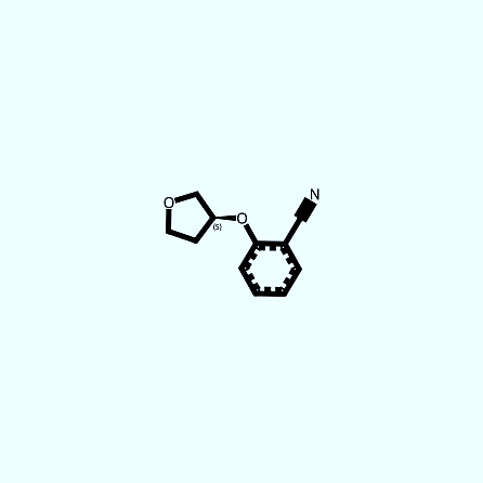 N#Cc1ccccc1O[C@H]1CCOC1